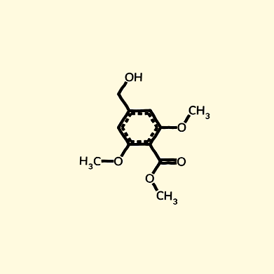 COC(=O)c1c(OC)cc(CO)cc1OC